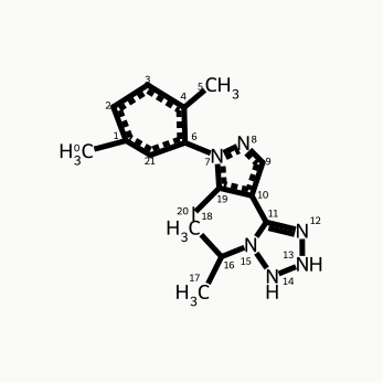 Cc1ccc(C)c(-n2ncc(C3=NNNN3C(C)C)c2I)c1